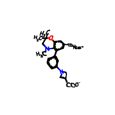 CN1CC(C)(C)Oc2cc(C(C)(C)C)cc(-c3cccc(N4CC(C(=O)[O-])C4)c3)c21.[Na+]